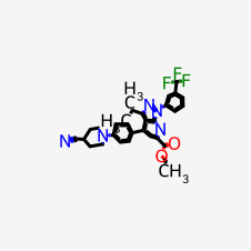 CCOC(=O)c1cc(-c2ccc(N3CCC(C#N)CC3)cc2)c2c(C(C)C)nn(-c3cccc(C(F)(F)F)c3)c2n1